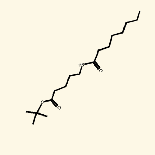 CCCCCCCC(=O)NCCCCC(=O)OC(C)(C)C